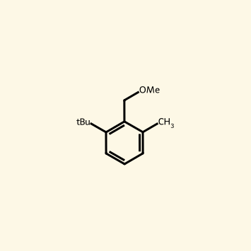 COCc1c(C)cccc1C(C)(C)C